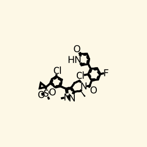 C[C@H]1c2nn(C)c(-c3cc(Cl)cc(C4(S(C)(=O)=O)CC4)c3)c2CCN1C(=O)c1cc(F)cc(-c2ccc(=O)[nH]c2)c1Cl